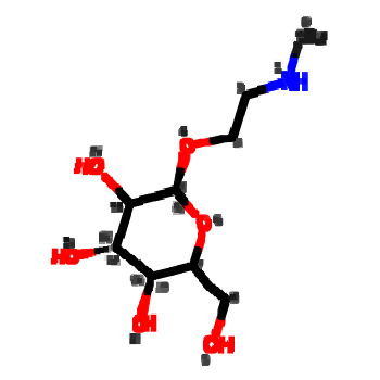 CC(C)(C)NCCO[C@H]1OC(CO)[C@@H](O)[C@H](O)C1O